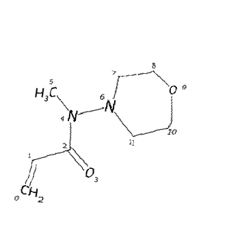 C=CC(=O)N(C)N1CCOCC1